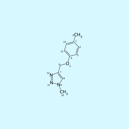 Cc1ccc(OCc2cn(C)nn2)cc1